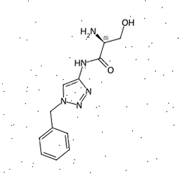 N[C@@H](CO)C(=O)Nc1cn(Cc2ccccc2)nn1